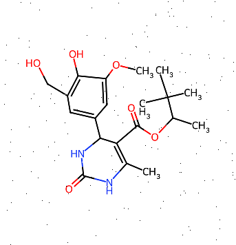 COc1cc(C2NC(=O)NC(C)=C2C(=O)OC(C)C(C)(C)C)cc(CO)c1O